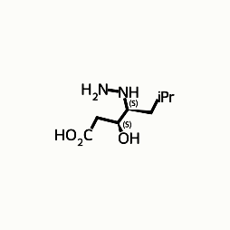 CC(C)C[C@H](NN)[C@@H](O)CC(=O)O